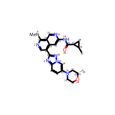 CNc1ncc(-c2nc3ccc(N4CCO[C@@H](C)C4)cn3n2)c2cc(NC(=O)C3CC3C)ncc12